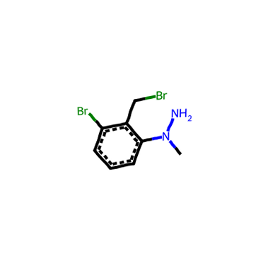 CN(N)c1cccc(Br)c1CBr